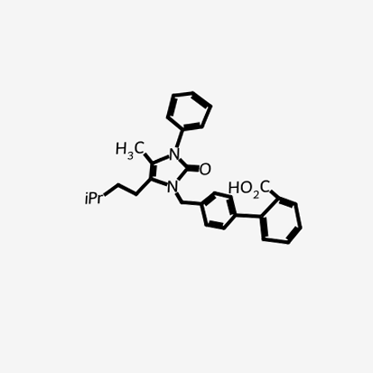 Cc1c(CCC(C)C)n(Cc2ccc(-c3ccccc3C(=O)O)cc2)c(=O)n1-c1ccccc1